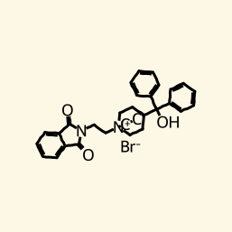 O=C1c2ccccc2C(=O)N1CC[N+]12CCC(C(O)(c3ccccc3)c3ccccc3)(CC1)CC2.[Br-]